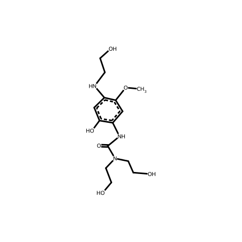 COc1cc(NC(=O)N(CCO)CCO)c(O)cc1NCCO